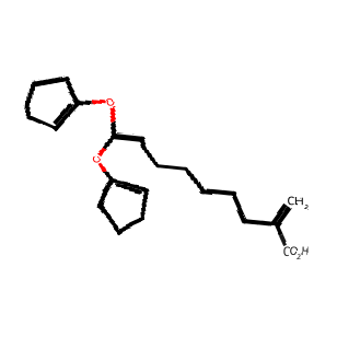 C=C(CCCCCCC(OC1=CCCC1)OC1=CCCC1)C(=O)O